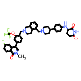 Cn1cc(-c2ccc(CN3CCc4c(CN5CCC(c6ccc(NC7CCC(=O)NC7=O)cc6)CC5)cccc4C3)c(OC(F)(F)F)c2)c2cc(F)ccc2c1=O